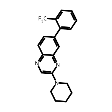 FC(F)(F)c1ccccc1-c1ccc2ncc(N3CCCCC3)nc2c1